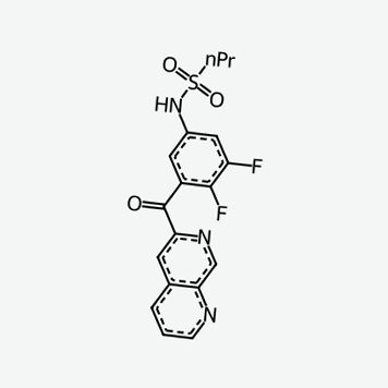 CCCS(=O)(=O)Nc1cc(F)c(F)c(C(=O)c2cc3cccnc3cn2)c1